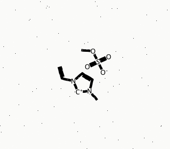 C=CN1[C+]N(C)C=C1.COS(=O)(=O)[O-]